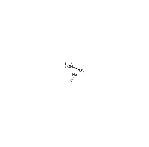 O=N[O-].[I-].[K+].[Na+]